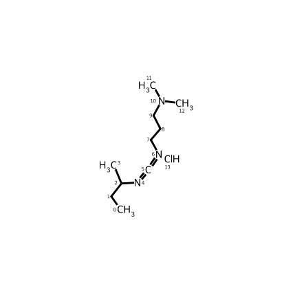 CCC(C)N=C=NCCCN(C)C.Cl